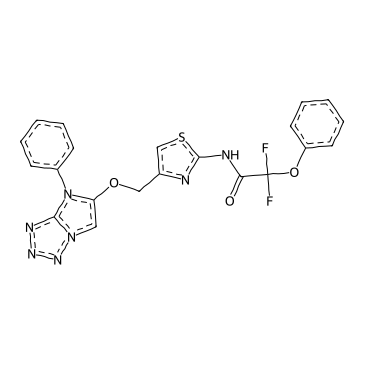 O=C(Nc1nc(COc2cn3nnnc3n2-c2ccccc2)cs1)C(F)(F)Oc1ccccc1